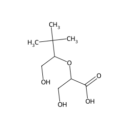 CC(C)(C)C(CO)OC(CO)C(=O)O